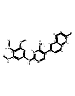 COc1cc(Nc2ncc(-c3ccc4nc(C)ccc4c3)c(N)n2)cc(OC)c1OC